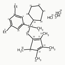 CCc1cc(CC)cc([Si](C)([Ti][C]2=C(C)C(C)=C(C)C2C)C2CCCCC2)c1.Cl.Cl.Cl